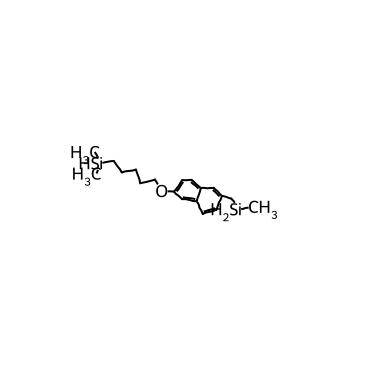 C[SiH2]Cc1ccc2cc(OCCCCC[SiH](C)C)ccc2c1